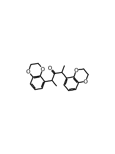 CC(C(=O)C(C)c1cccc2c1OCCO2)c1cccc2c1OCCO2